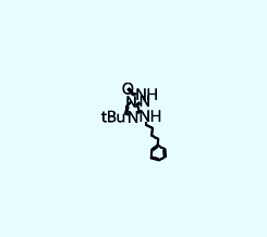 CC(C)(C)c1cn2c(=O)[nH]nc2c(NCCCCc2ccccc2)n1